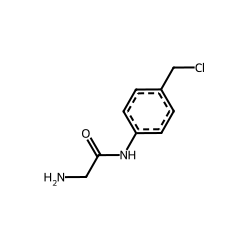 NCC(=O)Nc1ccc(CCl)cc1